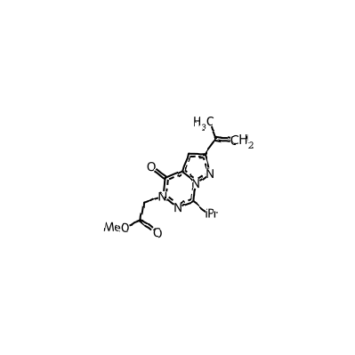 C=C(C)c1cc2c(=O)n(CC(=O)OC)nc(C(C)C)n2n1